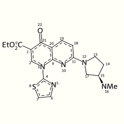 CCOC(=O)c1cn(-c2nccs2)c2nc(N3CC[C@@H](NC)C3)ccc2c1=O